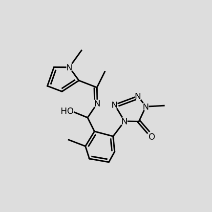 CC(=NC(O)c1c(C)cccc1-n1nnn(C)c1=O)c1cccn1C